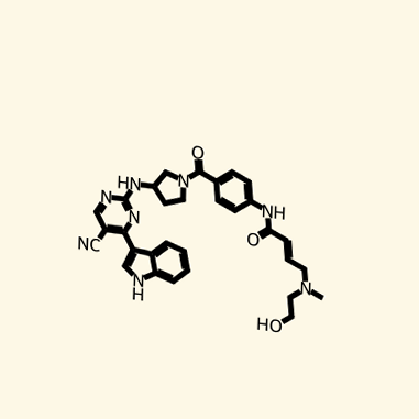 CN(CC=CC(=O)Nc1ccc(C(=O)N2CCC(Nc3ncc(C#N)c(-c4c[nH]c5ccccc45)n3)C2)cc1)CCO